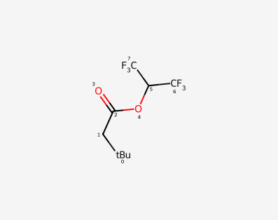 CC(C)(C)CC(=O)OC(C(F)(F)F)C(F)(F)F